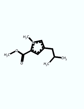 COC(=O)c1cc(CC(C)C)cn1C